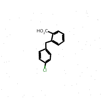 O=C(O)c1ccccc1Cc1ccc(Cl)cc1